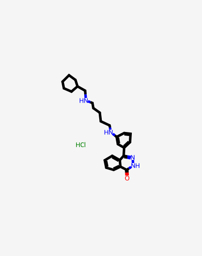 Cl.O=c1[nH]nc(-c2cccc(NCCCCCNCC3CCCCC3)c2)c2ccccc12